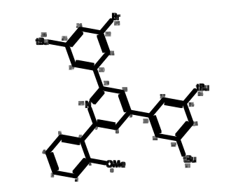 COc1ccccc1-c1cc(-c2cc(C(C)(C)C)cc(C(C)(C)C)c2)cc(-c2cc(Br)cc(C(C)(C)C)c2)n1